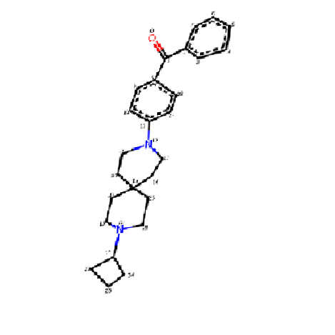 O=C(c1ccccc1)c1ccc(N2CCC3(CC2)CCN(C2CCC2)CC3)cc1